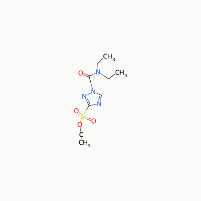 CCOS(=O)(=O)c1ncn(C(=O)N(CC)CC)n1